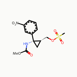 COC(=O)N[C@@]1(c2cccc([N+](=O)[O-])c2)C[C@H]1COS(C)(=O)=O